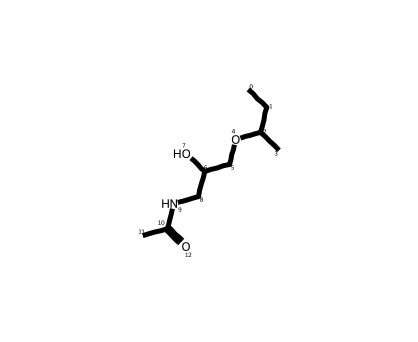 CCC(C)OCC(O)CNC(C)=O